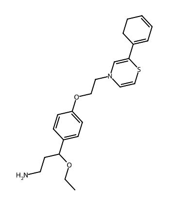 CCOC(CCN)c1ccc(OCCN2C=CSC(C3=CC=CCC3)=C2)cc1